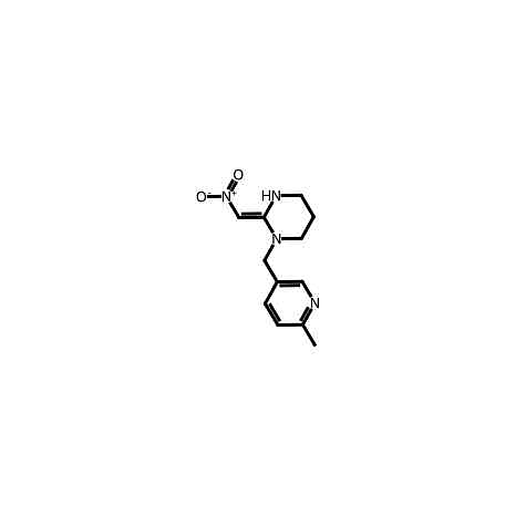 Cc1ccc(CN2CCCNC2=C[N+](=O)[O-])cn1